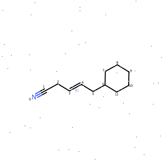 N#CC/C=C/CC1CCCCC1